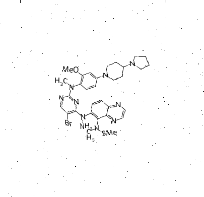 COc1cc(N2CCC(N3CCCC3)CC2)ccc1N(C)c1ncc(Br)c(N(N)c2ccc3nccnc3c2N(C)SC)n1